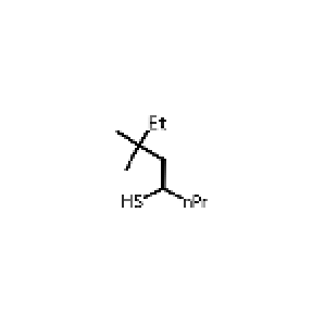 CCCC(S)CC(C)(C)CC